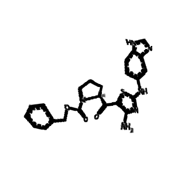 Nc1nc(Nc2ccc3[nH]cnc3c2)sc1C(=O)[C@@H]1CCCN1C(=O)OCc1ccccc1